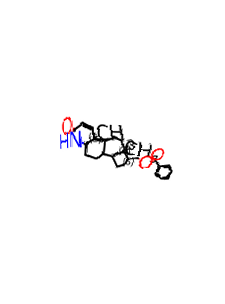 C[C@]12C=CC(=O)NC1CCC1C2CC[C@@]2(C)C1CC[C@@H]2COC(=O)c1ccccc1